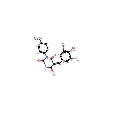 COc1ccc(N2C(=O)NC(=O)C(=Cc3cc(Br)c(O)c(Br)c3)C2=O)cc1